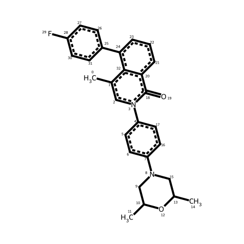 Cc1cn(-c2ccc(N3CC(C)OC(C)C3)cc2)c(=O)c2cccc(-c3ccc(F)cc3)c12